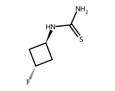 NC(=S)N[C@H]1C[C@H](F)C1